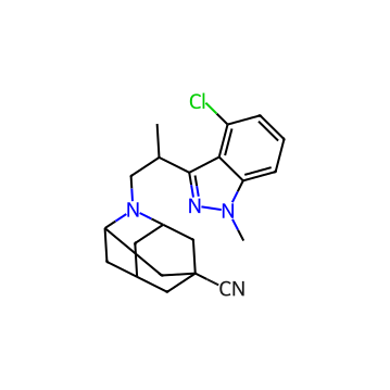 CC(CN1C2CC3CC1CC(C#N)(C3)C2)c1nn(C)c2cccc(Cl)c12